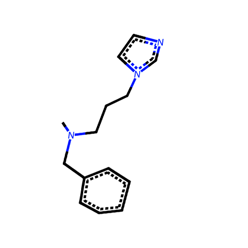 CN(CCCn1ccnc1)Cc1ccccc1